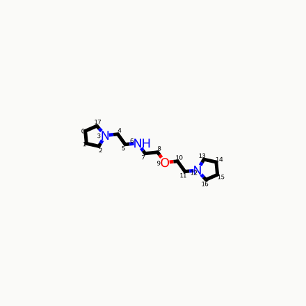 C1CCN(CCNCCOCCN2CCCC2)C1